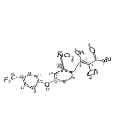 CC(C)(C)C(=O)/C(C#N)=C(\O)c1ccc(Oc2ccc(C(F)(F)F)cc2)cc1[N+](=O)[O-]